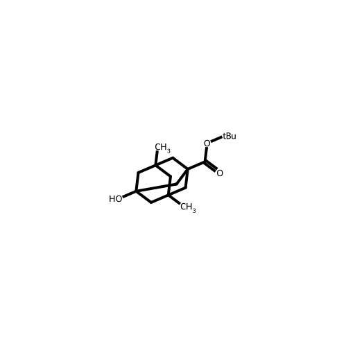 CC12CC3(C)CC(O)(C1)CC(C(=O)OC(C)(C)C)(C2)C3